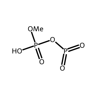 COP(=O)(O)OP(=O)=O